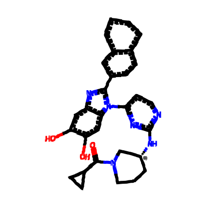 O=C(C1CC1)N1CCC[C@@H](Nc2nccc(-n3c(-c4ccc5ccccc5c4)nc4cc(O)c(O)cc43)n2)C1